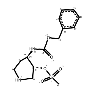 CS(=O)(=O)O[C@@H]1CNCC[C@H]1NC(=O)OCc1ccccc1